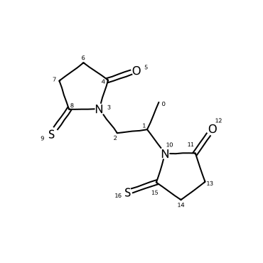 CC(CN1C(=O)CCC1=S)N1C(=O)CCC1=S